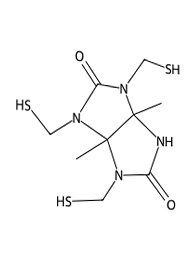 CC12NC(=O)N(CS)C1(C)N(CS)C(=O)N2CS